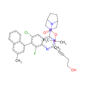 Cc1cc(-c2c(Cl)cc3c(N4CC5CCC(C4)N5C(=O)OC(C)(C)C)nc(C#CCCO)nc3c2F)c2ccccc2c1